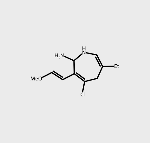 CCC1=CNC(N)C(/C=C/OC)=C(Cl)C1